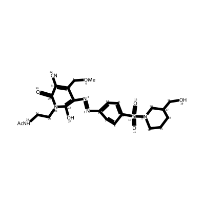 COCc1c(/N=N/c2ccc(S(=O)(=O)N3CCCC(CO)C3)cc2)c(O)n(CCNC(C)=O)c(=O)c1C#N